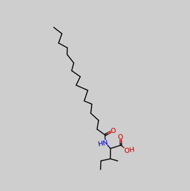 CCCCCCCCCCCCCCCC(=O)NC(C(=O)O)C(C)CC